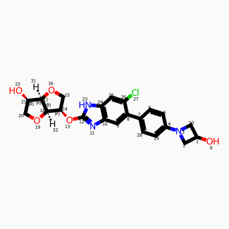 OC1CN(c2ccc(-c3cc4nc(O[C@@H]5CO[C@H]6[C@@H]5OC[C@H]6O)[nH]c4cc3Cl)cc2)C1